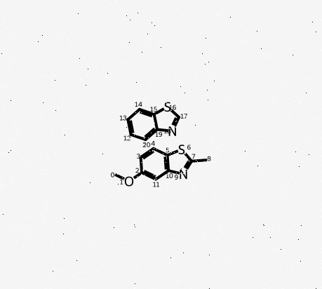 COc1ccc2sc(C)nc2c1.c1ccc2scnc2c1